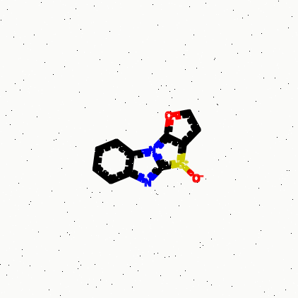 [O-][s+]1c2ccoc2n2c3ccccc3nc21